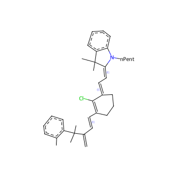 C=C(/C=C/C1=C(Cl)C(=C/C=C2/N(CCCCC)c3ccccc3C2(C)C)/CCC1)C(C)(C)c1ccccc1C